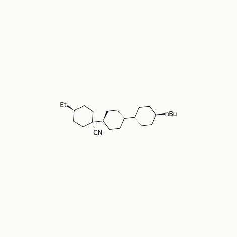 CCCC[C@H]1CC[C@H]([C@H]2CC[C@H]([C@]3(C#N)CC[C@H](CC)CC3)CC2)CC1